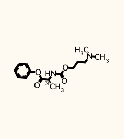 C[C@H](NC(=O)OCCCN(C)C)C(=O)Oc1ccccc1